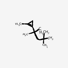 CC1=C(C(C)(C)CC(C)(C)C)C1